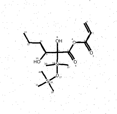 C=CC(=O)OC(=O)C(O)(C(O)CCC)[Si](C)(C)O[Si](C)(C)C